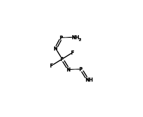 N=PN=P(F)(F)/N=P\N